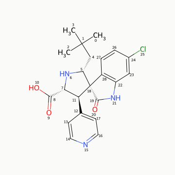 CC(C)(C)C[C@H]1N[C@@H](C(=O)O)[C@H](c2ccncc2)[C@@]12C(=O)Nc1cc(Cl)ccc12